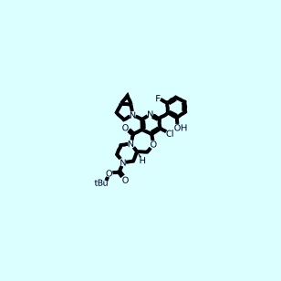 CC(C)(C)OC(=O)N1CCN2C(=O)c3c(N4CCC5CC54)nc(-c4c(O)cccc4F)c(Cl)c3OC[C@H]2C1